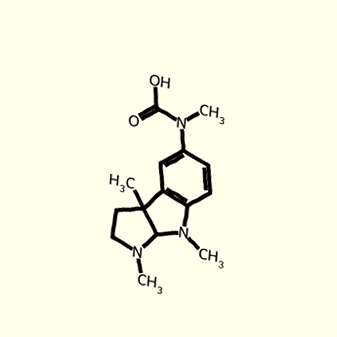 CN(C(=O)O)c1ccc2c(c1)C1(C)CCN(C)C1N2C